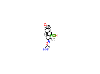 CCC1/C(=N/O[C@@H]2CCNC2)CC[C@@]2(C)C1C(O)C[C@@H]1[C@H]2CC[C@]2(C)C(=O)CC[C@@H]12.Cl